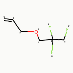 C=CCOCC(F)(F)CF